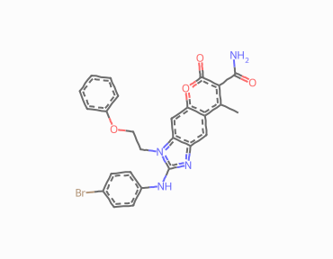 Cc1c(C(N)=O)c(=O)oc2cc3c(cc12)nc(Nc1ccc(Br)cc1)n3CCOc1ccccc1